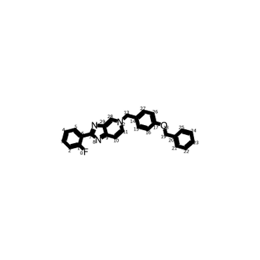 Fc1ccccc1-c1nc2ccn(Cc3ccc(OCc4ccccc4)cc3)cc-2n1